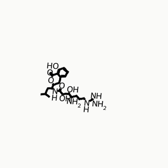 CC(C)CC(NC(=O)C(O)C(O)C(N)CCCNC(=N)N)C1Cc2cccc(O)c2C(=O)O1